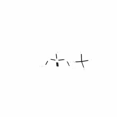 CCC(N)(CC)CC.CCCCOP(=O)(O)OCCCC